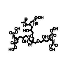 CCC(COCC(O)CN(C[PH](C)=O)C[PH](=O)OO)(COCC(O)CN(C[PH](=O)OO)C[PH](=O)OO)COCC(O)CN(C[PH](=O)OO)C[PH](=O)OO